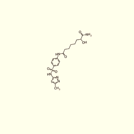 Cc1nnc(NS(=O)(=O)c2ccc(NC(=O)CCCCCC(O)C(N)=O)cc2)s1